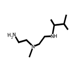 CC(C)C(C)NCCN(C)CCN